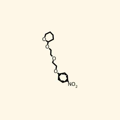 O=[N+]([O-])c1ccc(OCCOCCOC2CCCCO2)cc1